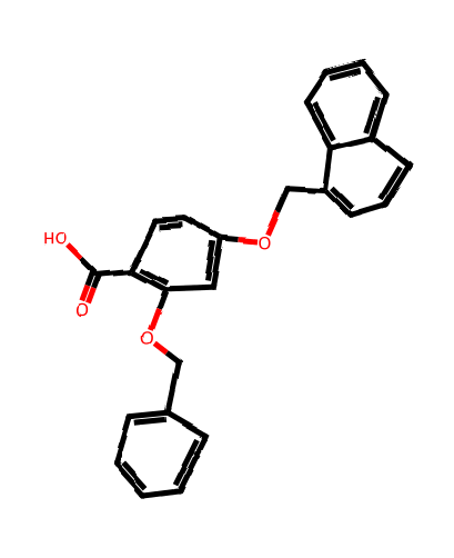 O=C(O)c1ccc(OCc2cccc3ccccc23)cc1OCc1ccccc1